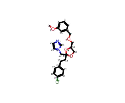 COc1cccc(COCC2COC(CCc3ccc(Cl)cc3)(Cn3ccnc3)O2)c1